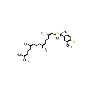 CC(C)=CCCC(C)=CCCC(C)=CCCC(C)=CCSC(C)(C)c1ccc(S)c(C)c1